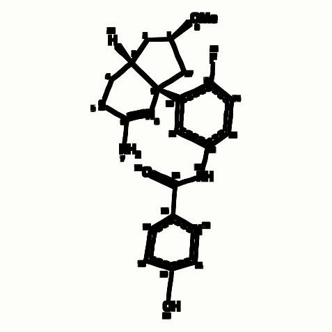 CO[C@@H]1C[C@H]2CSC(N)=N[C@@]2(c2cc(NC(=O)c3ccc(O)cn3)ccc2F)C1